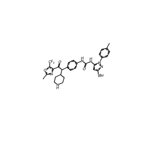 Cc1ccc(-n2nc(C(C)(C)C)cc2NC(=O)Nc2ccc(C(C(=O)c3nc(C)oc3C(F)(F)F)C3CCNCC3)cc2)cc1